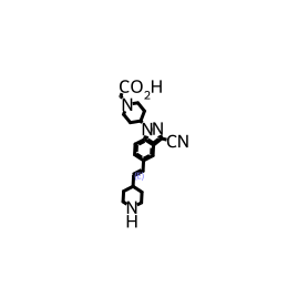 N#Cc1nn(C2CCN(CC(=O)O)CC2)c2ccc(/C=C/C3CCNCC3)cc12